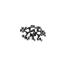 CN(C)P(=N[PH](N)(N(C)C)N(C)C)(N(C)C)N(C)C